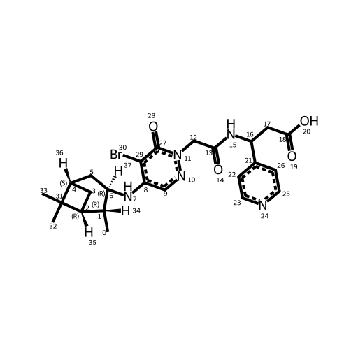 C[C@@H]1[C@H]2C[C@@H](C[C@H]1Nc1cnn(CC(=O)NC(CC(=O)O)c3ccncc3)c(=O)c1Br)C2(C)C